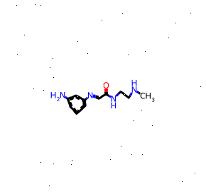 CNCCNC(=O)C=Nc1cccc(N)c1